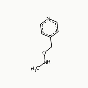 CNOCc1ccncc1